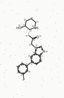 Cc1cccc(-c2ccc3ncn(CC(=O)C[C@H]4NCCC[C@@H]4O)c3c2)c1